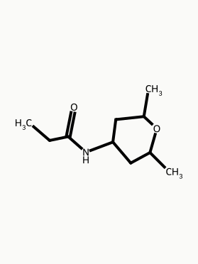 CCC(=O)NC1CC(C)OC(C)C1